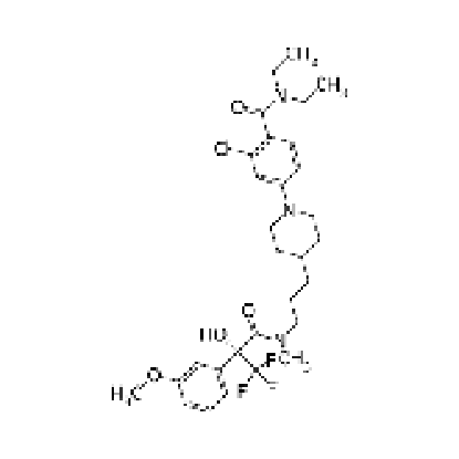 CCN(CC)C(=O)c1ccc(N2CCC(CCCN(C)C(=O)[C@](O)(c3cccc(OC)c3)C(F)(F)F)CC2)cc1Cl